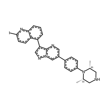 C[C@@H]1CNC[C@H](C)N1c1ccc(-c2cnc3c(-c4cccc5nc(I)ccc45)cnn3c2)cc1